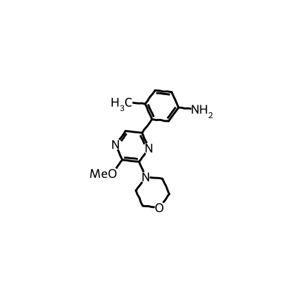 COc1ncc(-c2cc(N)ccc2C)nc1N1CCOCC1